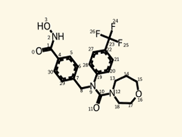 O=C(NO)c1ccc(CN(C(=O)N2CCCOCC2)c2ccc(C(F)(F)F)cc2)cc1